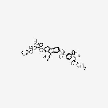 C=CC(=O)Oc1ccc(C(=O)Oc2ccc3c(c2)C(C)c2cc(OC(=O)C(=C)CC(=O)OC4CCCCC4)ccc2-3)cc1C